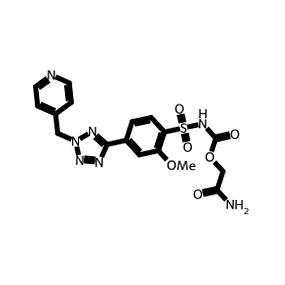 COc1cc(-c2nnn(Cc3ccncc3)n2)ccc1S(=O)(=O)NC(=O)OCC(N)=O